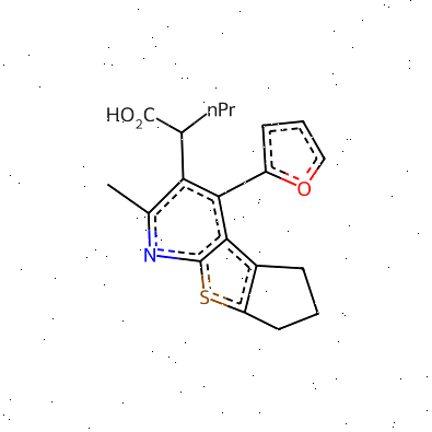 CCCC(C(=O)O)c1c(C)nc2sc3c(c2c1-c1ccco1)CCC3